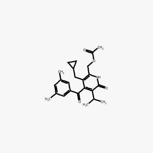 CC(=O)OCc1[nH]c(=O)c(C(C)C)c(C(=O)c2cc(C)cc(C)c2)c1CC1CC1